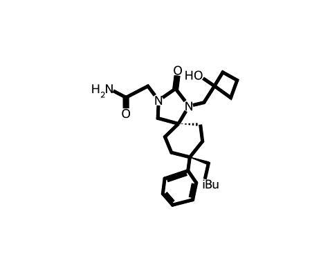 CCC(C)C[C@]1(c2ccccc2)CC[C@]2(CC1)CN(CC(N)=O)C(=O)N2CC1(O)CCC1